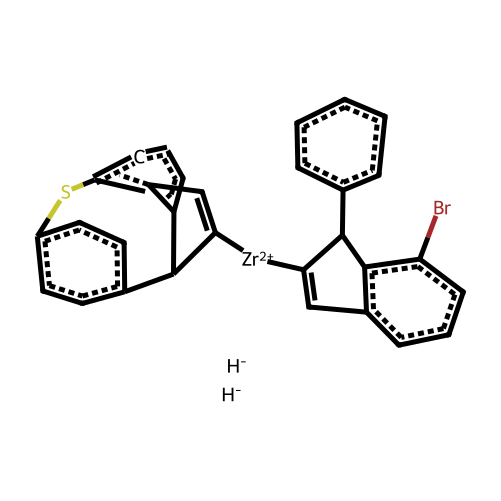 Brc1cccc2c1C(c1ccccc1)[C]([Zr+2][C]1=Cc3c4cccc3C1c1ccc(cc1)S4)=C2.[H-].[H-]